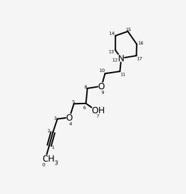 CC#CCOCC(O)COCCN1CCCCC1